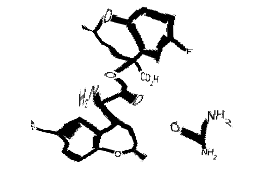 C[C@@H]1CC(N)(C(=O)OC2(C(=O)O)C[C@@H](C)Oc3ccc(F)cc32)c2cc(F)ccc2O1.NC(N)=O